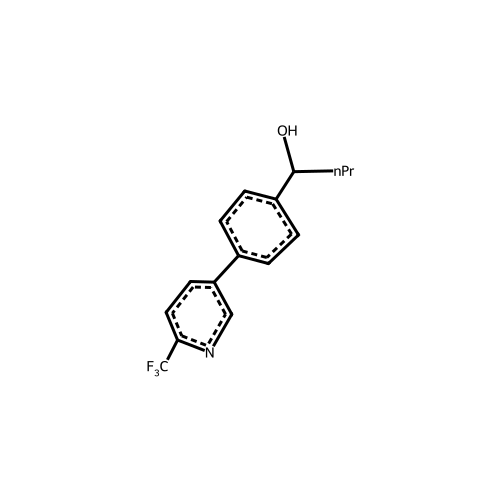 CCCC(O)c1ccc(-c2ccc(C(F)(F)F)nc2)cc1